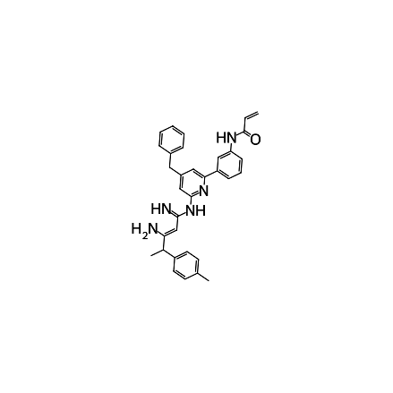 C=CC(=O)Nc1cccc(-c2cc(Cc3ccccc3)cc(NC(=N)/C=C(\N)C(C)c3ccc(C)cc3)n2)c1